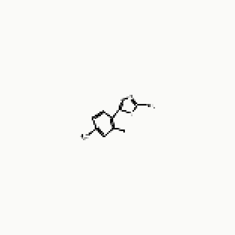 Cc1ccc(-c2nnc(N)s2)c(F)c1